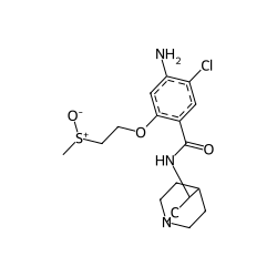 C[S+]([O-])CCOc1cc(N)c(Cl)cc1C(=O)NC1CN2CCC1CC2